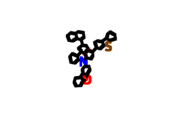 c1cc(-c2ccccc2N(c2ccc(-c3ccc4c(c3)sc3ccccc34)cc2)c2ccc3oc4ccccc4c3c2)cc(-c2cccc3ccccc23)c1